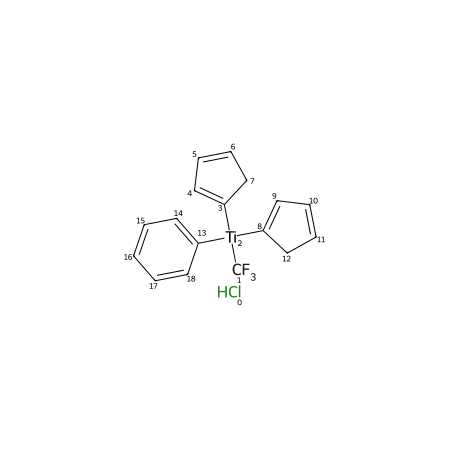 Cl.F[C](F)(F)[Ti]([C]1=CC=CC1)([C]1=CC=CC1)[c]1ccccc1